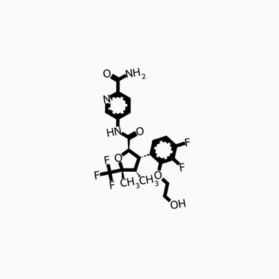 C[C@H]1[C@@H](c2ccc(F)c(F)c2OCCO)[C@H](C(=O)Nc2ccc(C(N)=O)nc2)O[C@@]1(C)C(F)(F)F